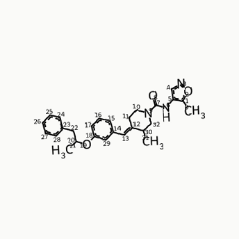 Cc1oncc1NC(=O)N1CC/C(=C\c2cccc(OC(C)Cc3ccccc3)c2)C(C)C1